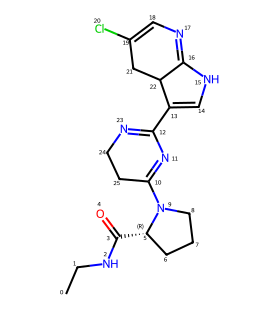 CCNC(=O)[C@H]1CCCN1C1=NC(C2=CNC3=NC=C(Cl)CC23)=NCC1